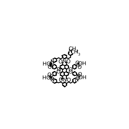 C=N/C=C\C(=C/C)CCc1cccc(CCc2ccncc2)c1N1C(=O)c2cc(Oc3ccc(S(=O)(=O)O)cc3)c3c4c(Oc5ccc(S(=O)(=O)O)cc5)cc5c6c(cc(Oc7ccc(S(=O)(=O)O)cc7)c(c7c(Oc8ccc(S(=O)(=O)O)cc8)cc(c2c37)C1=O)c64)C(=O)N(c1c(CCc2ccncc2)cccc1CCc1ccncc1)C5=O